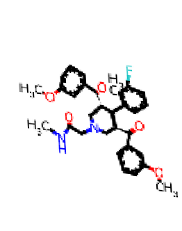 CNC(=O)CN1C[C@H](C(=O)c2cccc(OC)c2)C(c2cccc(F)c2C)[C@@H](C(=O)c2cccc(OC)c2)C1